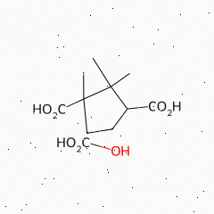 CC1(C(=O)O)CCC(C(=O)O)C1(C)C.O=C(O)O